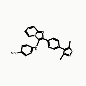 COc1ccc(Nc2c(-c3ccc(-c4c(C)noc4C)cc3)nc3ccccn23)cc1